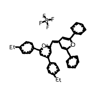 CCc1ccc(-c2cc(C=C3C=C(c4ccccc4)OC(c4ccccc4)=C3)[o+]c(-c3ccc(CC)cc3)c2)cc1.F[B-](F)(F)F